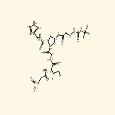 CC[C@H](C)[C@H](NC(=O)CCC(=O)O)C(=O)NCC(=O)N1C[C@H](OC(=O)CCNC(=O)OC(C)(C)C)C[C@H]1C(=O)NCc1nn[nH]n1